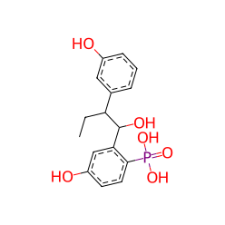 CCC(c1cccc(O)c1)C(O)c1cc(O)ccc1P(=O)(O)O